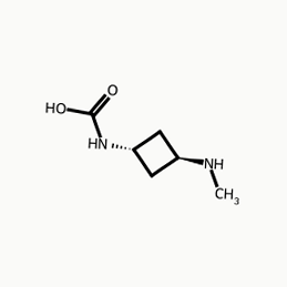 CN[C@H]1C[C@H](NC(=O)O)C1